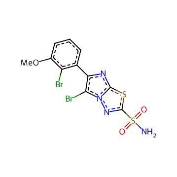 COc1cccc(-c2nc3sc(S(N)(=O)=O)nn3c2Br)c1Br